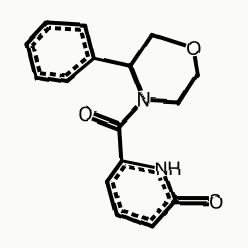 O=C(c1cccc(=O)[nH]1)N1CCOCC1c1ccccc1